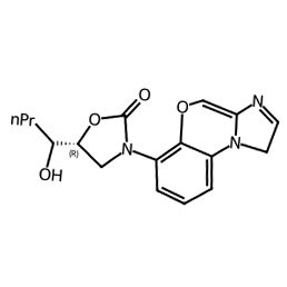 CCCC(O)[C@H]1CN(c2cccc3c2OC=C2N=CCN23)C(=O)O1